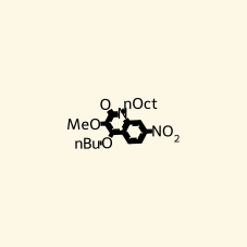 CCCCCCCCn1c(=O)c(OC)c(OCCCC)c2ccc([N+](=O)[O-])cc21